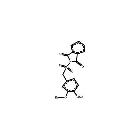 CCOc1cc(CS(=O)(=O)N2C(=O)c3ccccc3C2=O)ccc1OC